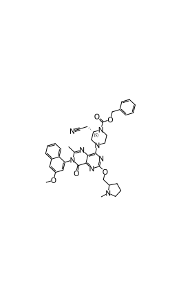 COc1cc(-n2c(C)nc3c(N4CCN(C(=O)OCc5ccccc5)[C@@H](CC#N)C4)nc(OCC4CCCN4C)nc3c2=O)c2ccccc2c1